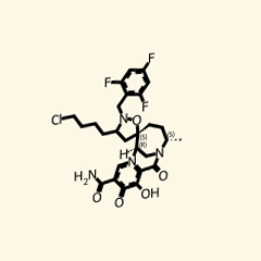 C[C@H]1CC[C@]2(CC(CCCCCl)N(Cc3c(F)cc(F)cc3F)O2)[C@H]2CN1C(=O)c1c(O)c(=O)c(C(N)=O)cn12